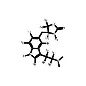 [2H]c1c(C[C@@]2([2H])N([2H])C(=O)OC2([2H])[2H])c([2H])c2c(C([2H])([2H])C([2H])([2H])N(C)C)c([2H])n([2H])c2c1[2H]